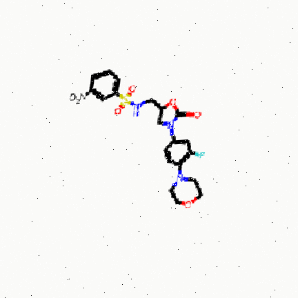 O=C1OC(CNS(=O)(=O)c2cccc([N+](=O)[O-])c2)CN1c1ccc(N2CCOCC2)c(F)c1